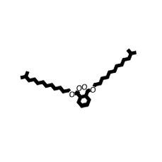 CC(C)CCCCCCCCCCOC(=O)C1CC=CCC1C(=O)OCCCCCCCCCCC(C)C